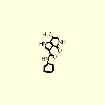 Cc1c[nH]c(=O)c2c(C(=O)Nc3ccccc3)c[nH]c12